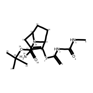 C=C(NC(=O)NC)SC1=C(N)CC2CCC1N2C(=O)OC(C)(C)C